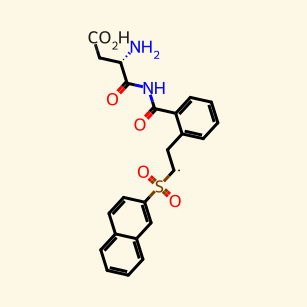 N[C@@H](CC(=O)O)C(=O)NC(=O)c1ccccc1C[CH]S(=O)(=O)c1ccc2ccccc2c1